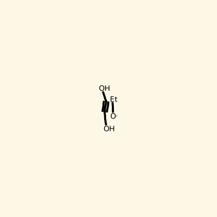 CC[O].OC#CO